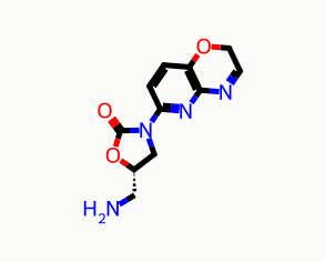 NC[C@H]1CN(c2ccc3c(n2)N=CCO3)C(=O)O1